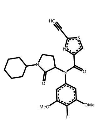 C#Cc1nc(C(=O)N(c2cc(OC)c(F)c(OC)c2)C2CCN(C3CCCCC3)C2=O)cs1